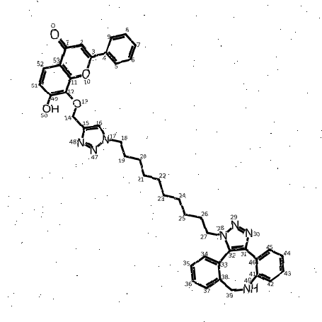 O=c1cc(-c2ccccc2)oc2c(OCc3cn(CCCCCCCCCCn4nnc5c4-c4ccccc4CNc4ccccc4-5)nn3)c(O)ccc12